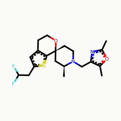 Cc1nc(CN2CC[C@]3(C[C@@H]2C)OCCc2cc(CC(F)F)sc23)c(C)o1